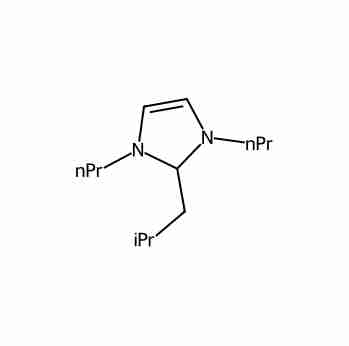 CCCN1C=CN(CCC)C1CC(C)C